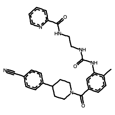 Cc1ccc(C(=O)N2CCC(c3ccc(C#N)cc3)CC2)cc1NC(=O)NCCNC(=O)c1ccccn1